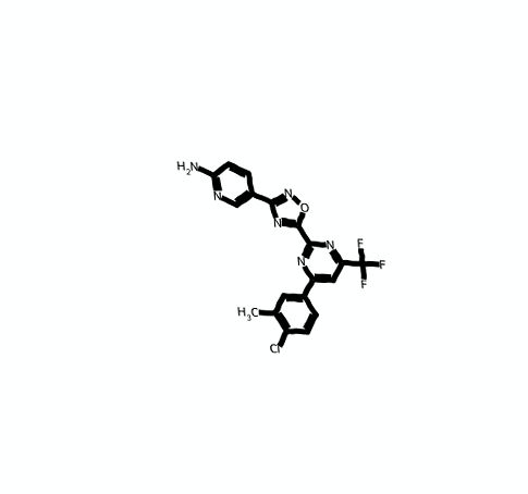 Cc1cc(-c2cc(C(F)(F)F)nc(-c3nc(-c4ccc(N)nc4)no3)n2)ccc1Cl